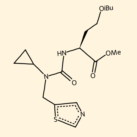 COC(=O)[C@H](CCOCC(C)C)NC(=O)N(Cc1cncs1)C1CC1